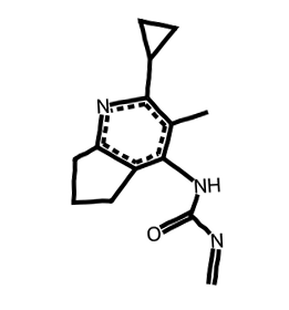 C=NC(=O)Nc1c(C)c(C2CC2)nc2c1CCC2